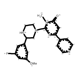 COc1cc(F)cc(C2CN(c3nc(-c4ccncc4)cc(=O)n3C)CCN2)c1